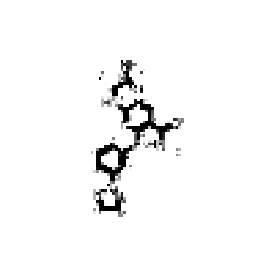 C[C@@H](Nc1ncc(C(N)=O)c([AsH]c2cccc(-n3nccn3)c2)n1)C(N)=O